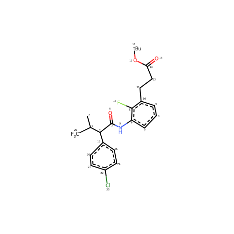 CC(C(C(=O)Nc1cccc(CCC(=O)OC(C)(C)C)c1F)c1ccc(Cl)cc1)C(F)(F)F